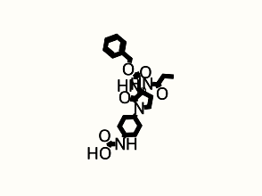 CCC(=O)N[C@]1(NC(=O)OCc2ccccc2)CCN(C2CCC(NC(=O)O)CC2)C1=O